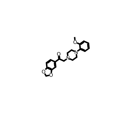 COc1ccccc1N1CCN(CC(=O)c2ccc3c(c2)OCO3)CC1